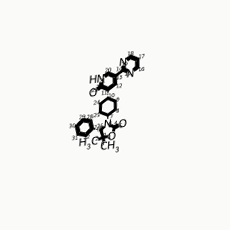 CC1(C)OC(=O)N([C@H]2CC[C@@H](c3cc(-c4ncccn4)c[nH]c3=O)CC2)[C@H]1c1ccccc1